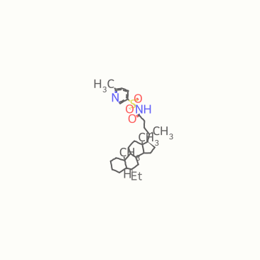 CC[C@H]1CC2C3CC[C@H]([C@H](C)CCC(=O)NS(=O)(=O)c4ccc(C)nc4)[C@@]3(C)CCC2[C@@]2(C)CCCC[C@@H]12